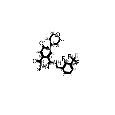 Cn1nc(NCc2cccc(C(F)(F)F)c2F)c2cn(N3CCOCC3)c(=O)cc2c1=O